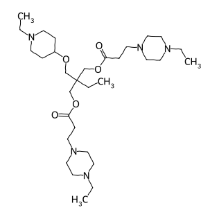 CCN1CCC(OCC(CC)(COC(=O)CCN2CCN(CC)CC2)COC(=O)CCN2CCN(CC)CC2)CC1